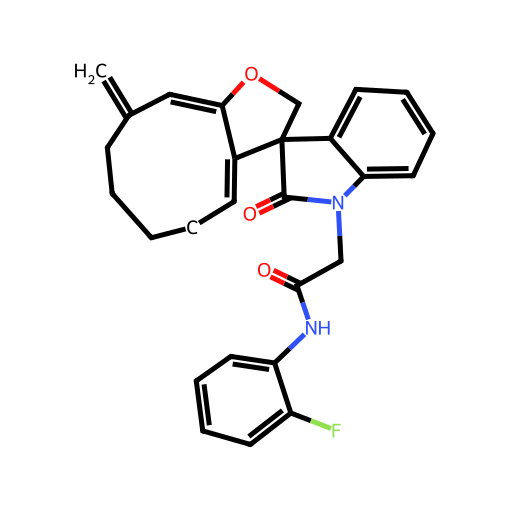 C=C1/C=C2/OCC3(C(=O)N(CC(=O)Nc4ccccc4F)c4ccccc43)/C2=C/CCCC1